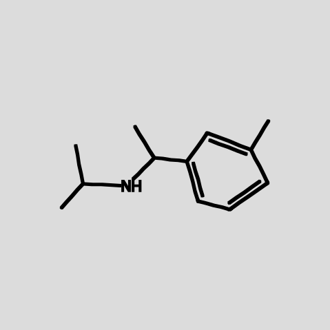 Cc1cccc(C(C)NC(C)C)c1